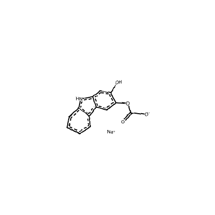 O=C([O-])Oc1cc2c(cc1O)[nH]c1ccccc12.[Na+]